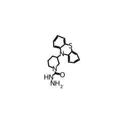 NNC(=O)N1CCCC(N2c3ccccc3Sc3ccccc32)C1